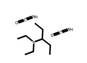 CCC(CC)N(CC)CC.N=C=O.N=C=O